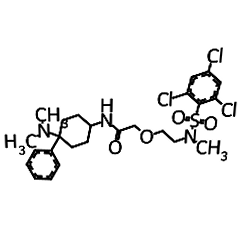 CN(C)C1(c2ccccc2)CCC(NC(=O)COCCN(C)S(=O)(=O)c2c(Cl)cc(Cl)cc2Cl)CC1